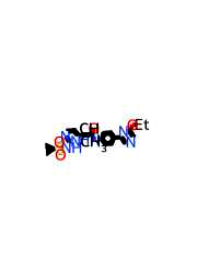 CCOc1cncc(-c2ccc(NC(=O)C(C)(C)c3ccnc(NS(=O)(=O)C4CC4)n3)cc2)n1